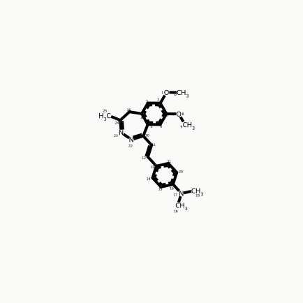 COc1cc2c(cc1OC)C(/C=C/c1ccc(N(C)C)cc1)=NN=C(C)C2